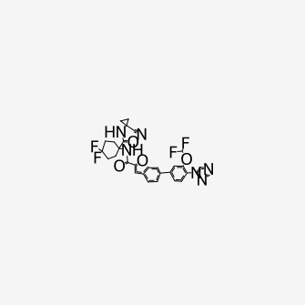 N#CC1(NC(=O)C2(NC(=O)c3cc4ccc(-c5ccc(-n6cncn6)c(OC(F)F)c5)cc4o3)CCC(F)(F)CC2)CC1